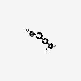 Cc1noc(N2C=CC=C(N3CCC(N4C[C@H](F)C[C@@H]4CO)CC3)C=C2)n1